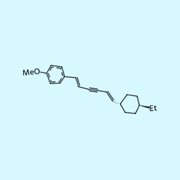 CC[C@H]1CC[C@H](C=CC#CC=Cc2ccc(OC)cc2)CC1